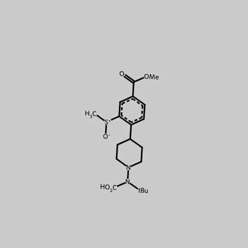 COC(=O)c1ccc(C2CCN(N(C(=O)O)C(C)(C)C)CC2)c([S+](C)[O-])c1